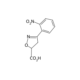 O=C(O)C1CC(c2ccccc2[N+](=O)[O-])=NO1